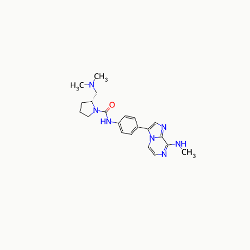 CNc1nccn2c(-c3ccc(NC(=O)N4CCC[C@@H]4CN(C)C)cc3)cnc12